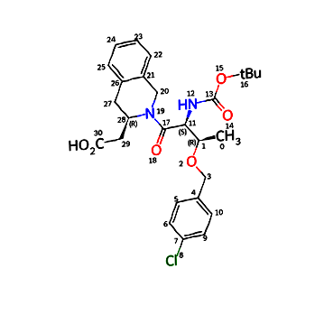 C[C@@H](OCc1ccc(Cl)cc1)[C@H](NC(=O)OC(C)(C)C)C(=O)N1Cc2ccccc2C[C@@H]1CC(=O)O